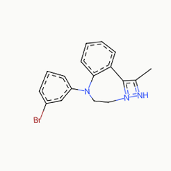 Cc1[nH]n2c1-c1ccccc1N(c1cccc(Br)c1)CC2